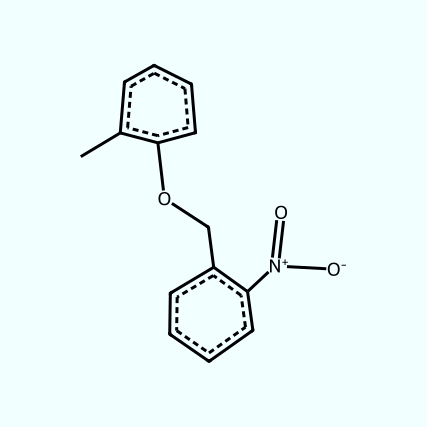 Cc1ccccc1OCc1ccccc1[N+](=O)[O-]